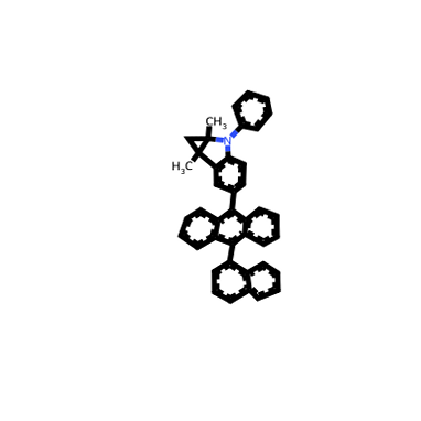 CC12CC1(C)N(c1ccccc1)c1ccc(-c3c4ccccc4c(-c4cccc5ccccc45)c4ccccc34)cc12